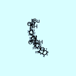 C[C@H](CC1CCCCC1)C(=O)N1CCC(O)(Cn2cnc(-c3ccc(CNC(=O)OC(C)(C)C)cc3)cc2=O)C(C)(C)C1